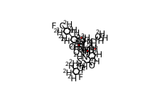 [2H]c1c([2H])c(F)c(F)c(C([2H])([2H])Sc2c([2H])c(=O)c3c([2H])c([2H])c([2H])c([2H])c3n2C([2H])([2H])C(=O)N(C([2H])([2H])c2c([2H])c([2H])c(-c3c([2H])c([2H])c(C(F)(F)F)c([2H])c3[2H])c([2H])c2C)C2([2H])C([2H])([2H])C([2H])([2H])N(CCOC([2H])([2H])[2H])C([2H])([2H])C2([2H])[2H])c1[2H]